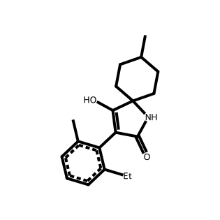 CCc1cccc(C)c1C1=C(O)C2(CCC(C)CC2)NC1=O